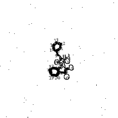 O=C1C(=O)N(S(=O)(=O)NCc2ccccc2)c2ccccc21